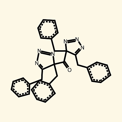 O=C(C1(Cc2ccccc2)N=NN=C1Cc1ccccc1)C1(Cc2ccccc2)N=NN=C1Cc1ccccc1